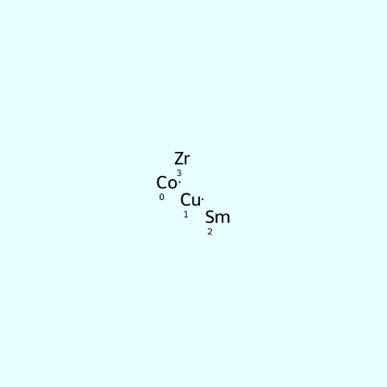 [Co].[Cu].[Sm].[Zr]